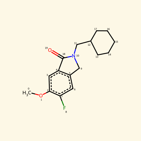 COc1cc2c(cc1F)CN(CC1CCCCC1)C2=O